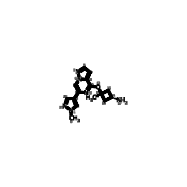 Cn1cc(-c2cn3nccc3c(O[C@]3(C)C[C@H](N)C3)n2)cn1